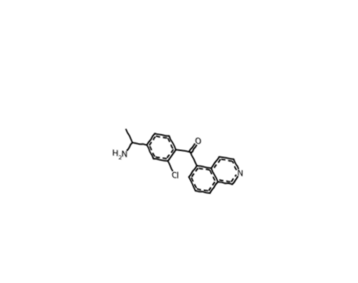 CC(N)c1ccc(C(=O)c2cccc3cnccc23)c(Cl)c1